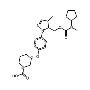 CC1C=NN(c2ccc(O[C@H]3CCC[C@H](C(=O)O)C3)cc2)C1COC(=O)N(C)C1CCCC1